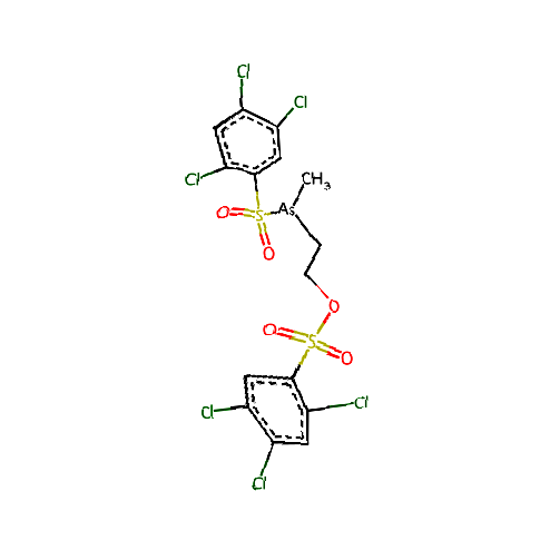 C[As](CCOS(=O)(=O)c1cc(Cl)c(Cl)cc1Cl)S(=O)(=O)c1cc(Cl)c(Cl)cc1Cl